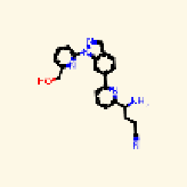 N#CCCC(N)c1cccc(-c2ccc3cnn(-c4cccc(CO)n4)c3c2)n1